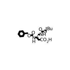 CC(C)(C)OC(=O)NC[C@H](CC(=O)O)NC(=O)OCc1ccccc1